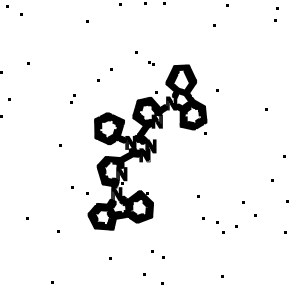 C1=CC2c3ccccc3N(c3cccc(-c4nnc(-c5cccc(-n6c7ccccc7c7ccccc76)n5)n4-c4ccccc4)n3)C2C=C1